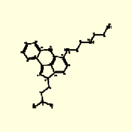 CCN(CC)CCn1nc2c3c(c(NCCNCCO)ccc31)[Se]c1ccccc1-2